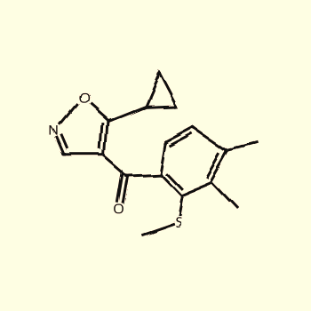 CSc1c(C(=O)c2cnoc2C2CC2)ccc(C)c1C